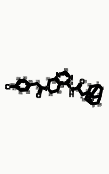 O=C(CC12CC3CC(CC(C3)C1)C2)Nc1ncnc2c1CCN(C(=O)Cc1ccc(Cl)cc1)C2